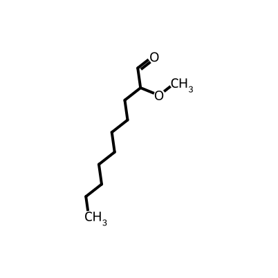 CCCCCCCCC(C=O)OC